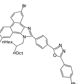 CCCCCCCCC(CCCCCC)Cn1c(-c2ccc(-c3nnc(-c4ccc(C(C)(C)C)cc4)o3)cc2)nc2c3cc(Br)ccc3c3ccc(Br)cc3c21